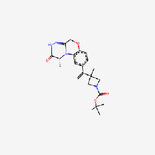 C=C(c1ccc2c(c1)N1C(=NNC(=O)[C@H]1C)CO2)C1(C)CN(C(=O)OC(C)(C)C)C1